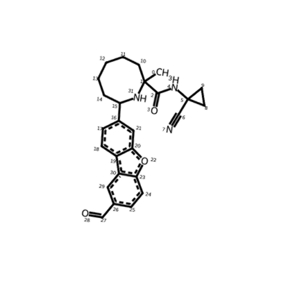 CC1(C(=O)NC2(C#N)CC2)CCCCCC(c2ccc3c(c2)oc2ccc(C=O)cc23)N1